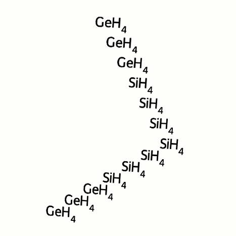 [GeH4].[GeH4].[GeH4].[GeH4].[GeH4].[GeH4].[SiH4].[SiH4].[SiH4].[SiH4].[SiH4].[SiH4].[SiH4]